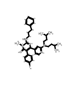 CC(C)CCN(CCC(C)C)c1cc(-c2nc(NCCCc3ccccc3)n(C)c(=O)c2-c2ccc(F)cc2)ccn1